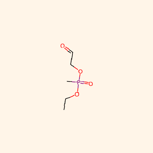 CCOP(C)(=O)OCC=O